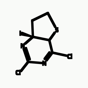 ClC1=N[C@]2(I)CCSC2C(Cl)=N1